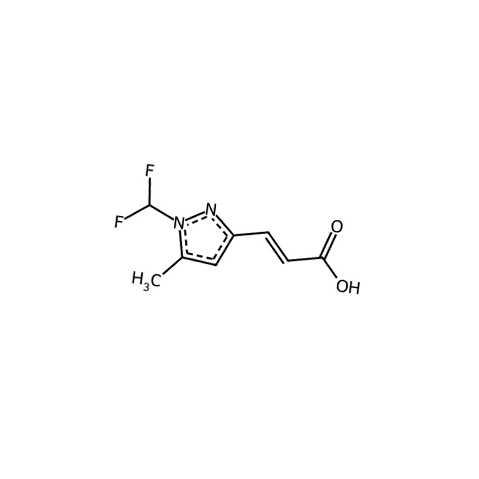 Cc1cc(/C=C/C(=O)O)nn1C(F)F